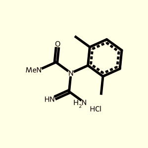 CNC(=O)N(C(=N)N)c1c(C)cccc1C.Cl